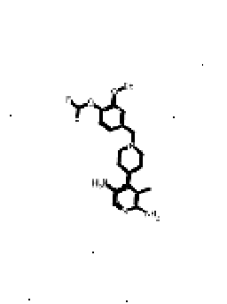 CCOc1cc(CN2CCC(c3c(N)cnc(N)c3C)CC2)ccc1OC(F)F